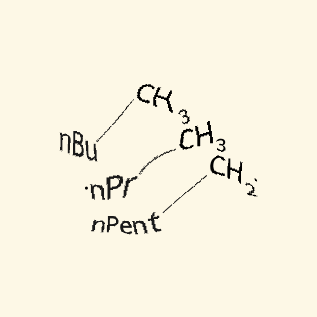 CCCCC.C[CH]CC.[CH2]CCCCC